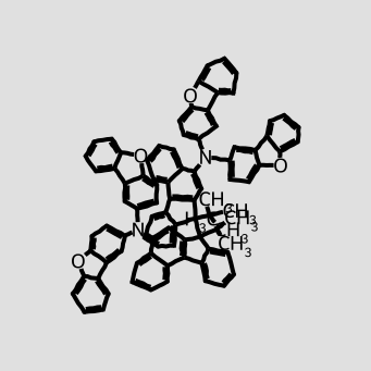 CC(C)(C)C1(C2(C(C)(C)C)c3ccccc3-c3c2cc(N(c2ccc4oc5ccccc5c4c2)c2ccc4oc5ccccc5c4c2)c2ccccc32)c2ccccc2-c2c1cc(N(c1ccc3oc4ccccc4c3c1)c1ccc3oc4ccccc4c3c1)c1ccccc21